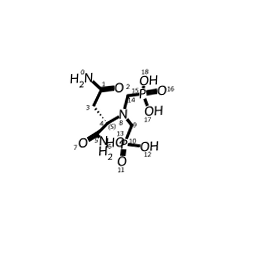 NC(=O)C[C@@H](C(N)=O)N(CP(=O)(O)O)CP(=O)(O)O